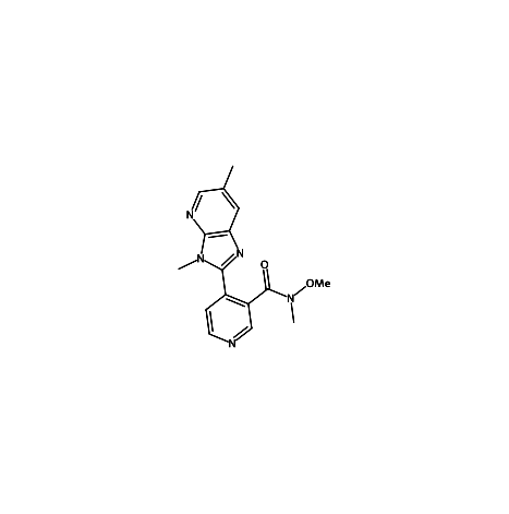 CON(C)C(=O)c1cnccc1-c1nc2cc(C)cnc2n1C